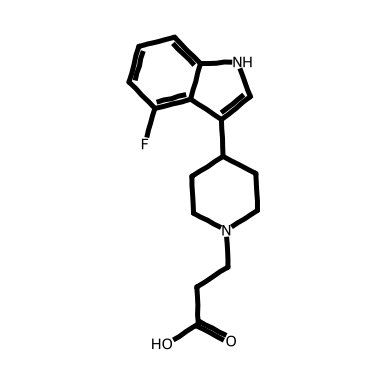 O=C(O)CCN1CCC(c2c[nH]c3cccc(F)c23)CC1